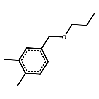 CCCOCc1ccc(C)c(C)c1